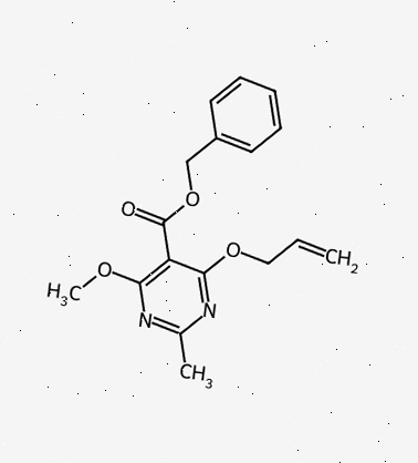 C=CCOc1nc(C)nc(OC)c1C(=O)OCc1ccccc1